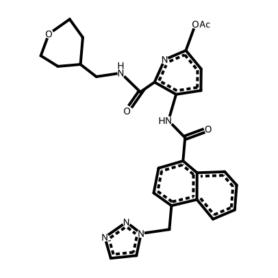 CC(=O)Oc1ccc(NC(=O)c2ccc(Cn3ccnn3)c3ccccc23)c(C(=O)NCC2CCOCC2)n1